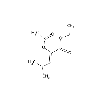 CCOC(=O)C(=CC(C)C)OC(C)=O